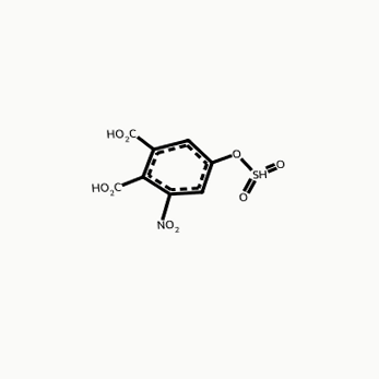 O=C(O)c1cc(O[SH](=O)=O)cc([N+](=O)[O-])c1C(=O)O